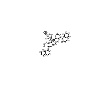 CC1=Cc2c(-c3cccc4ccccc34)cccc2[CH]1[Hf+2]1([CH]2C(C)=Cc3c(-c4cccc5ccccc45)cccc32)[CH]2CCCC[CH]21.[Cl-].[Cl-]